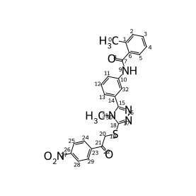 Cc1ccccc1C(=O)Nc1cccc(-c2nnc(SCC(=O)c3ccc([N+](=O)[O-])cc3)n2C)c1